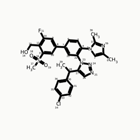 Cc1cn(-c2ccc(-c3cc(F)c(CO)c(S(C)(=O)=O)c3)cc2-n2nncc2C(C)c2ccc(Cl)cc2)c(C)n1